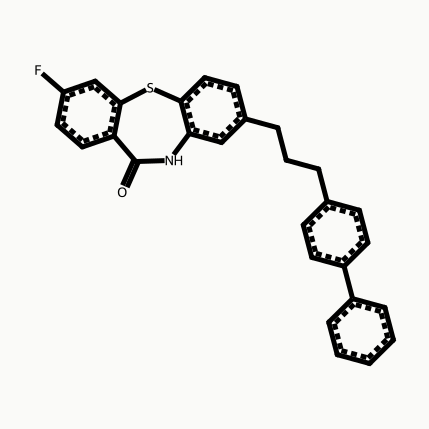 O=C1Nc2cc(CCCc3ccc(-c4ccccc4)cc3)ccc2Sc2cc(F)ccc21